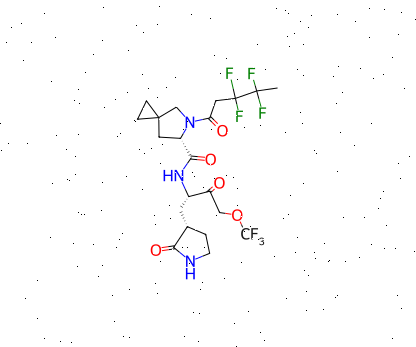 CC(F)(F)C(F)(F)CC(=O)N1CC2(CC2)C[C@H]1C(=O)N[C@@H](C[C@@H]1CCNC1=O)C(=O)COC(F)(F)F